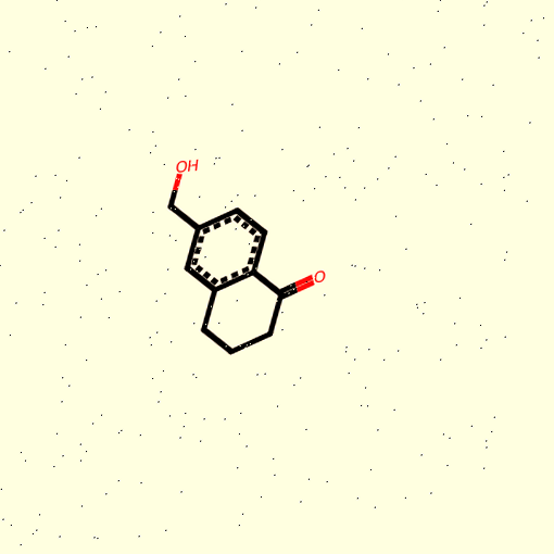 O=C1CCCc2cc(CO)ccc21